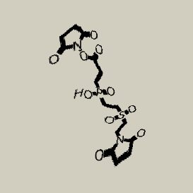 O=C(CCP(=O)(O)CCS(=O)(=O)CCN1C(=O)C=CC1=O)ON1C(=O)CCC1=O